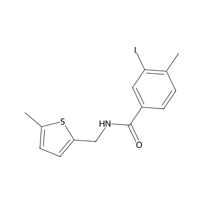 Cc1ccc(CNC(=O)c2ccc(C)c(I)c2)s1